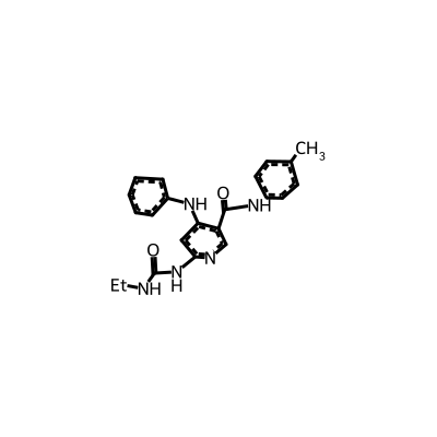 CCNC(=O)Nc1cc(Nc2ccccc2)c(C(=O)Nc2ccc(C)cc2)cn1